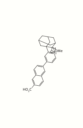 COc1ccc(-c2ccc3cc(C(=O)O)ccc3c2)cc1C12CC3CC(CC(C3)[C@@H]1C)C2